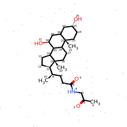 CC(=O)CNC(=O)CC[C@@H](C)[C@H]1CCC2C3C(CC[C@@]21C)[C@@]1(C)CC[C@@H](O)CC1C[C@@H]3O